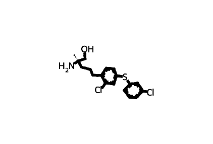 C[C@](N)(CO)CCCc1ccc(Sc2cccc(Cl)c2)cc1Cl